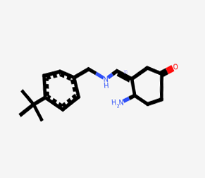 CC(C)(C)c1ccc(CN/C=C2/CC(=O)CCC2N)cc1